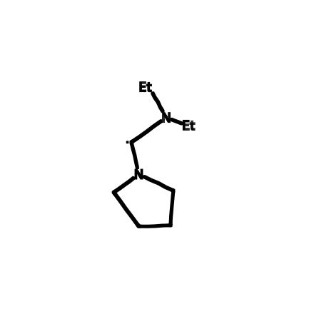 CCN([CH]N1CCCC1)CC